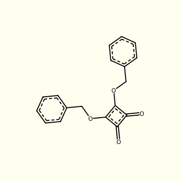 O=c1c(OCc2ccccc2)c(OCc2ccccc2)c1=O